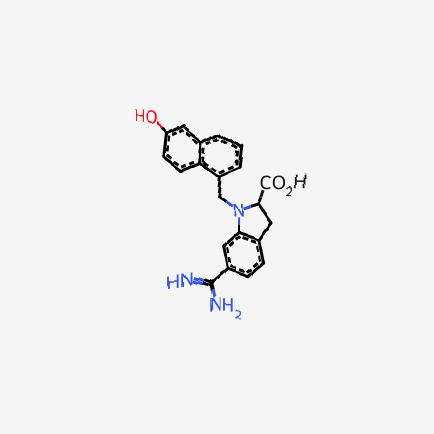 N=C(N)c1ccc2c(c1)N(Cc1cccc3cc(O)ccc13)C(C(=O)O)C2